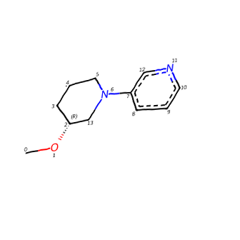 CO[C@@H]1C[CH]CN(c2cccnc2)C1